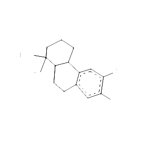 CC(=O)c1cc2c(cc1C(C)C)CCC1C2CCCC1(C)C(C)=O